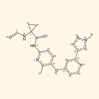 Cc1nc(NC(=O)C2(NC=O)CC2)ccc1Oc1ccnc(-c2cnn(C)c2)c1